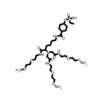 CCP(=O)(S)OC1CCC(C(=O)NCCCCC(C(=O)NCCOCCON)N(CC(=O)NCCOCCON)CC(=O)NCCOCCON)CC1